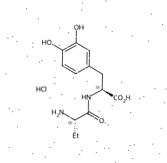 CC[C@H](N)C(=O)N[C@@H](Cc1ccc(O)c(O)c1)C(=O)O.Cl